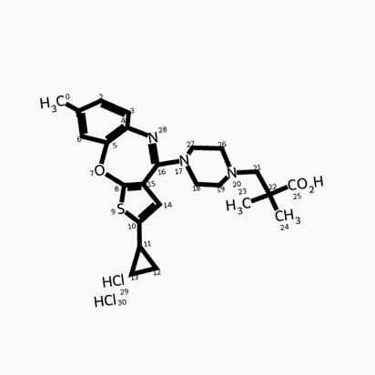 Cc1ccc2c(c1)Oc1sc(C3CC3)cc1C(N1CCN(CC(C)(C)C(=O)O)CC1)=N2.Cl.Cl